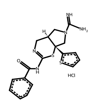 Cl.N=C(N)N1C[C@@H]2CN=C(NC(=O)c3ccccc3)S[C@@]2(c2cccs2)C1